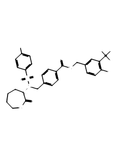 O=C(NCc1ccc(F)c(C(F)(F)F)c1)c1ccc(CN([C@@H]2CCCCNC2=O)S(=O)(=O)c2ccc(Cl)cc2)cc1